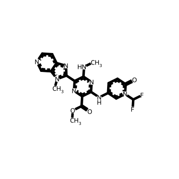 CNc1nc(Nc2ccc(=O)n(C(F)F)c2)c(C(=O)OC)nc1-c1nc2ccncc2n1C